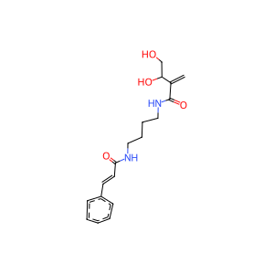 C=C(C(=O)NCCCCNC(=O)C=Cc1ccccc1)C(O)CO